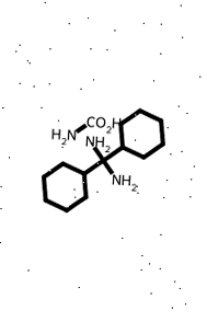 NC(=O)O.NC(N)(C1CCCCC1)C1CCCCC1